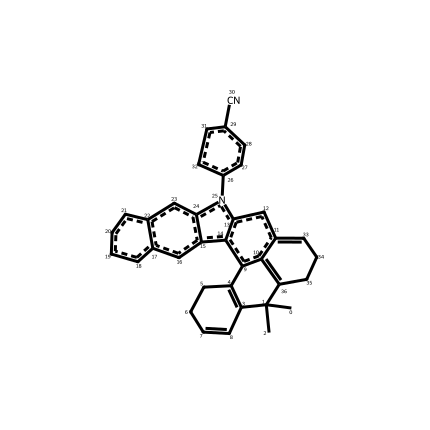 CC1(C)C2=C(CCC=C2)c2c3c(cc4c2c2cc5ccccc5cc2n4-c2ccc(C#N)cc2)=CCCC=31